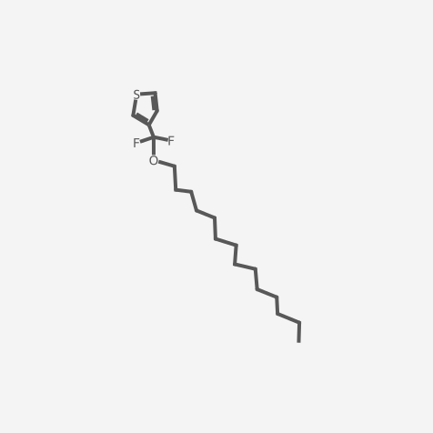 CCCCCCCCCCCCCCOC(F)(F)c1ccsc1